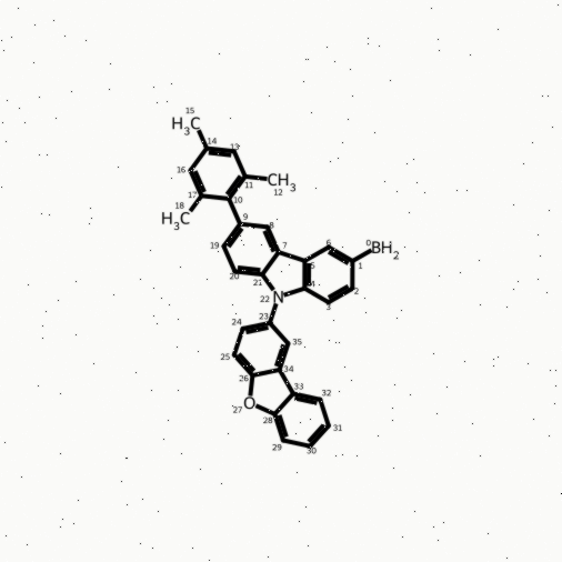 Bc1ccc2c(c1)c1cc(-c3c(C)cc(C)cc3C)ccc1n2-c1ccc2oc3ccccc3c2c1